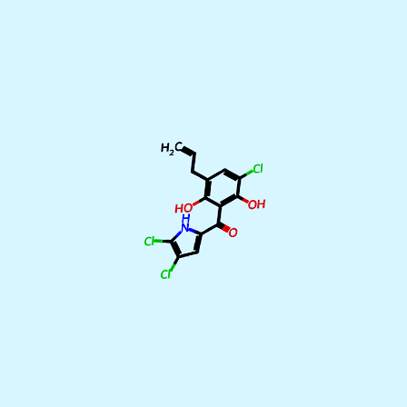 C=CCc1cc(Cl)c(O)c(C(=O)c2cc(Cl)c(Cl)[nH]2)c1O